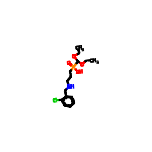 CCOC(OCC)P(=O)(O)CCCNCc1ccccc1Cl